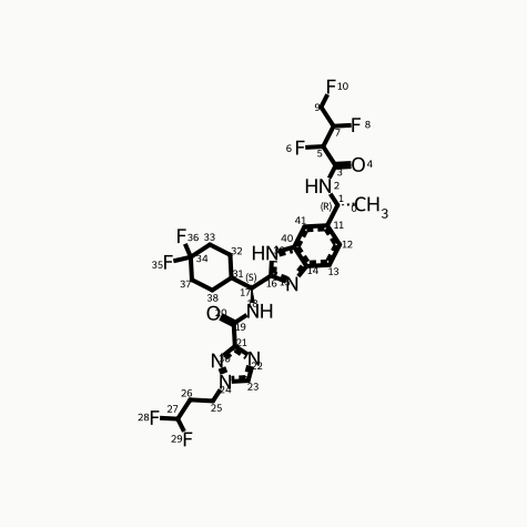 C[C@@H](NC(=O)C(F)C(F)CF)c1ccc2nc([C@@H](NC(=O)c3ncn(CCC(F)F)n3)C3CCC(F)(F)CC3)[nH]c2c1